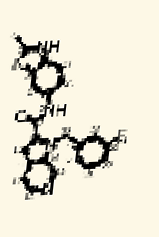 Cc1nc2cc(NC(=O)c3cc4ccncc4n3Cc3cccc(F)c3)ccc2[nH]1